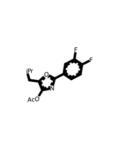 CC(=O)Oc1nc(-c2ccc(F)c(F)c2)oc1CC(C)C